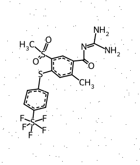 Cc1cc(Sc2ccc(S(F)(F)(F)(F)F)cc2)c(S(C)(=O)=O)cc1C(=O)N=C(N)N